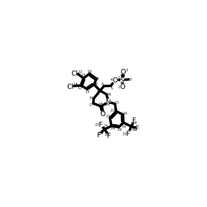 CS(=O)(=O)OCCC1(c2ccc(Cl)c(Cl)c2)CCC(=O)N(Cc2cc(C(F)(F)F)cc(C(F)(F)F)c2)C1